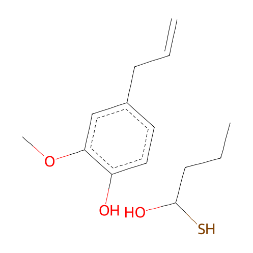 C=CCc1ccc(O)c(OC)c1.CCCC(O)S